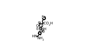 CCN1C(=O)C(=O)N(C(Cc2cccnc2)C(=O)O)CC1NS(=O)(=O)c1ccc(C(=N)N)cc1